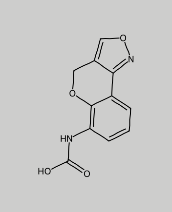 O=C(O)Nc1cccc2c1OCc1conc1-2